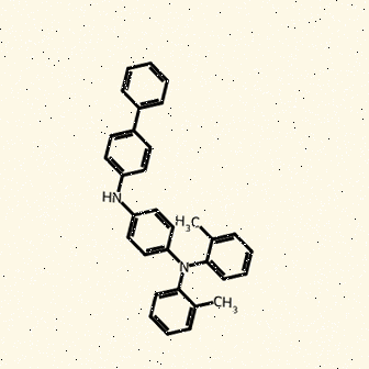 Cc1ccccc1N(c1ccc(Nc2ccc(-c3ccccc3)cc2)cc1)c1ccccc1C